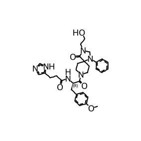 COc1ccc(C[C@@H](NC(=O)CCc2cnc[nH]2)C(=O)N2CCC3(CC2)C(=O)N(CCO)CN3c2ccccc2)cc1